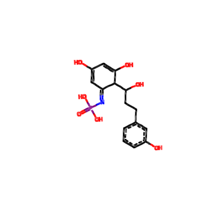 O=P(O)(O)N=C1C=C(O)C=C(O)C1C(O)CCc1cccc(O)c1